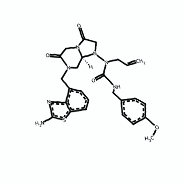 C=CCN(C(=O)NCc1ccc(OC)cc1)N1CC(=O)N2CC(=O)N(Cc3cccc4sc(N)nc34)C[C@@H]21